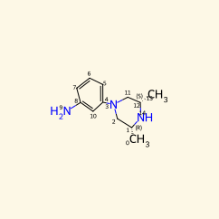 C[C@@H]1CN(c2cccc(N)c2)C[C@H](C)N1